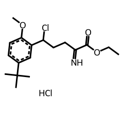 CCOC(=O)C(=N)CCC(Cl)c1cc(C(C)(C)C)ccc1OC.Cl